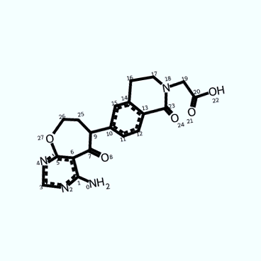 Nc1ncnc2c1C(=O)C(c1ccc3c(c1)CCN(CC(=O)O)C3=O)CCO2